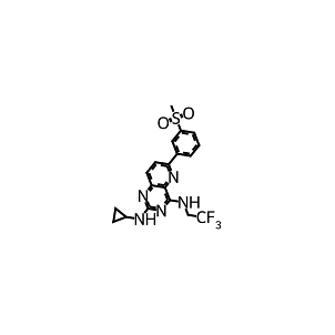 CS(=O)(=O)c1cccc(-c2ccc3nc(NC4CC4)nc(NCC(F)(F)F)c3n2)c1